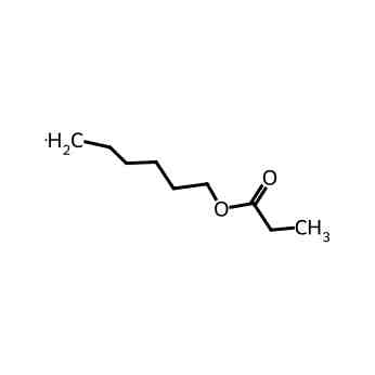 [CH2]CCCCCOC(=O)CC